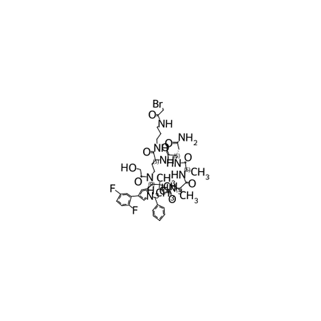 CC(=O)N[C@@H](C)C(=O)N[C@@H](C)C(=O)N[C@@H](CC(N)=O)C(=O)N[C@@H](CCN(C(=O)CO)[C@@H](c1cc(-c2cc(F)ccc2F)cn1Cc1ccccc1)C(C)(C)C)C(=O)NCCCNC(=O)CBr